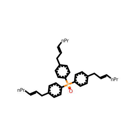 CCC/C=C/Cc1ccc(P(=O)(c2ccc(C/C=C/CCC)cc2)c2ccc(C/C=C/CCC)cc2)cc1